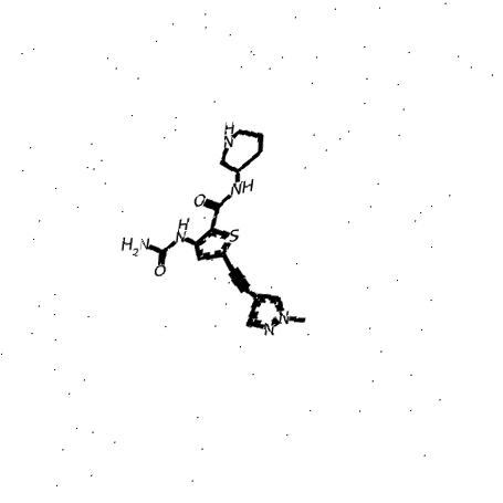 Cn1cc(C#Cc2cc(NC(N)=O)c(C(=O)NC3CCCNC3)s2)cn1